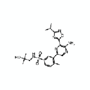 Cc1ccc(S(=O)(=O)NCC(C)(C)O)cc1-c1cnc(N)c(-c2nc(C(C)C)no2)n1